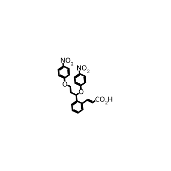 O=C(O)C=Cc1ccccc1C(CCOc1ccc([N+](=O)[O-])cc1)Oc1ccc([N+](=O)[O-])cc1